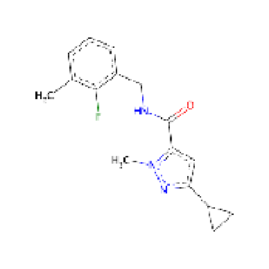 Cc1cccc(CNC(=O)c2cc(C3CC3)nn2C)c1F